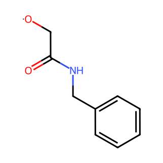 [O]CC(=O)NCc1ccccc1